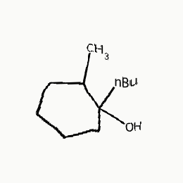 CCCCC1(O)CCCCC1C